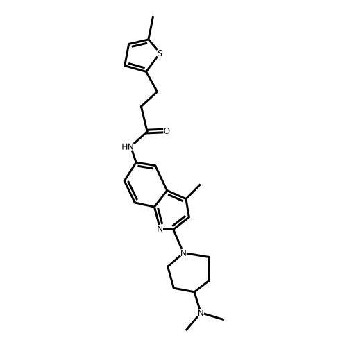 Cc1ccc(CCC(=O)Nc2ccc3nc(N4CCC(N(C)C)CC4)cc(C)c3c2)s1